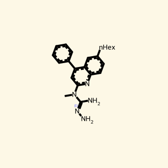 CCCCCCc1ccc2nc(N(C)/C(N)=N/N)cc(-c3ccccc3)c2c1